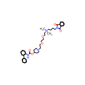 C[N+](C)(CCCCN1C(=O)c2ccccc2C1=O)CCOCCOCCN1CCC(OC(=O)Nc2ccccc2-c2ccccc2)CC1